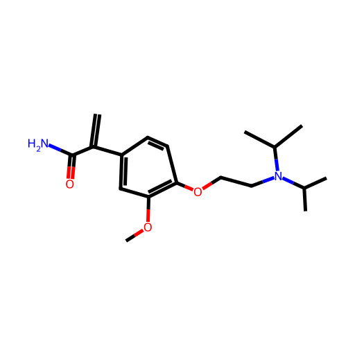 C=C(C(N)=O)c1ccc(OCCN(C(C)C)C(C)C)c(OC)c1